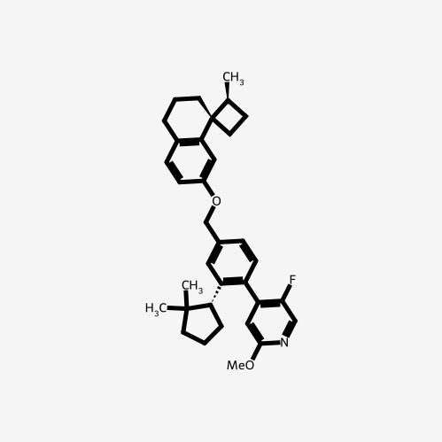 COc1cc(-c2ccc(COc3ccc4c(c3)[C@@]3(CCC4)CC[C@@H]3C)cc2[C@@H]2CCCC2(C)C)c(F)cn1